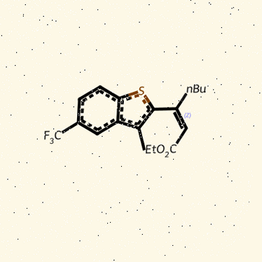 CCCC/C(=C/C(=O)OCC)c1sc2ccc(C(F)(F)F)cc2c1C